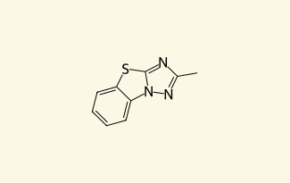 Cc1nc2sc3ccccc3n2n1